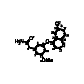 COc1cc(CC(N)=O)cc(Oc2ccnc3ccc(C(F)(F)F)cc23)c1